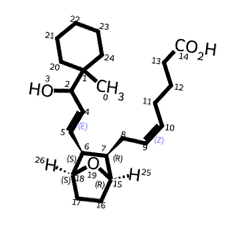 CC1(C(O)/C=C/[C@H]2[C@@H](C/C=C\CCCC(=O)O)[C@H]3CC[C@@H]2O3)CCCCC1